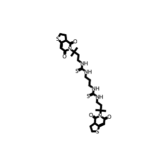 CC(C)(CCNC(=S)NCCCNC(=S)NCCC(C)(C)N1C(=O)C=C2SCCC2C1=O)N1C(=O)C=C2SCCC2C1=O